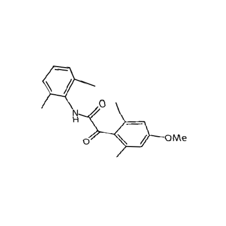 COc1cc(C)c(C(=O)C(=O)Nc2c(C)cccc2C)c(C)c1